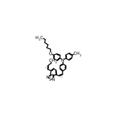 CC/C=C\c1ccc(/C=C\c2ccc(N(c3ccc(C)cc3)c3ccc(OCCCCCC)cc3)cc2)c2nsnc12